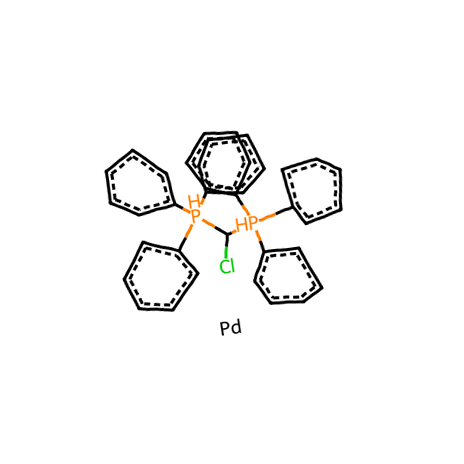 ClC([PH](c1ccccc1)(c1ccccc1)c1ccccc1)[PH](c1ccccc1)(c1ccccc1)c1ccccc1.[Pd]